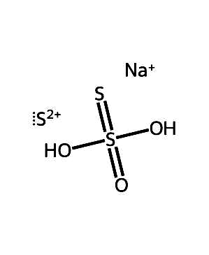 O=S(O)(O)=S.[Na+].[S+2]